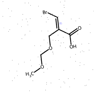 COCOC/C(=C\Br)C(=O)O